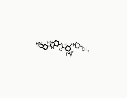 CCN1CCN(Cc2cc(C(=O)Nc3ccc4[nH]c(-c5ccc6cn[nH]c6c5)nc4c3)cc(C(F)(F)F)c2)CC1